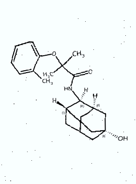 Cc1ccccc1OC(C)(C)C(=O)N[C@H]1[C@@H]2CC3C[C@H]1C[C@](O)(C3)C2